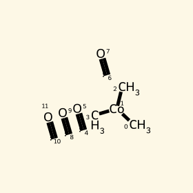 [CH3][Co]([CH3])[CH3].[C]=O.[C]=O.[C]=O.[C]=O